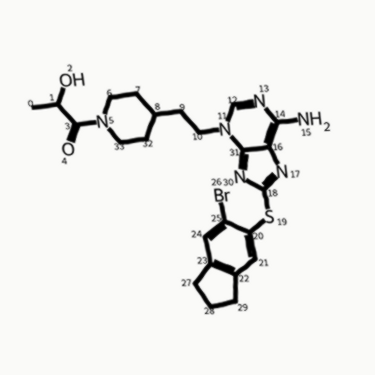 CC(O)C(=O)N1CCC(CCn2cnc(N)c3nc(Sc4cc5c(cc4Br)CCC5)nc2-3)CC1